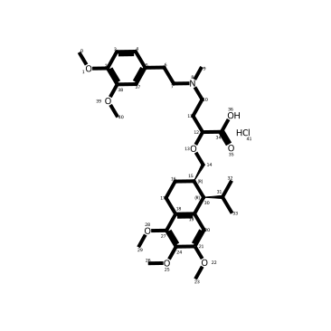 COc1ccc(CCN(C)CCC(OC[C@@H]2CCc3c(cc(OC)c(OC)c3OC)[C@@H]2C(C)C)C(=O)O)cc1OC.Cl